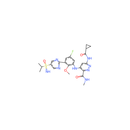 CNC(=O)c1nnc(NC(=O)C2CC2)cc1Nc1cc(F)cc(-c2ncc(S(=N)(=O)C(C)C)cn2)c1OC